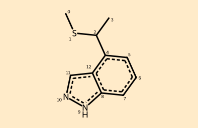 CSC(C)c1cccc2[nH]ncc12